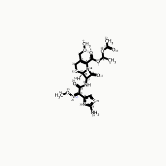 COCC1=C(C(=O)OC(C)OC(C)=O)N2C(=O)C(NC(=O)/C(=N\OC)c3csc(N)n3)[C@H]2SC1